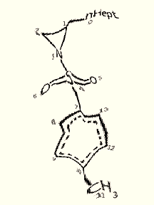 CCCCCCCC1CN1S(=O)(=O)c1ccc(C)cc1